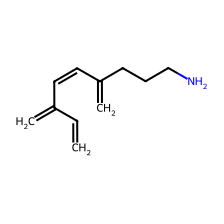 C=CC(=C)/C=C\C(=C)CCCN